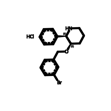 Brc1cccc(CO[C@@H]2CCCN[C@@H]2c2ccccc2)c1.Cl